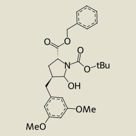 COc1cc(C[C@H]2C[C@H](C(=O)OCc3ccccc3)N(C(=O)OC(C)(C)C)C2O)cc(OC)c1